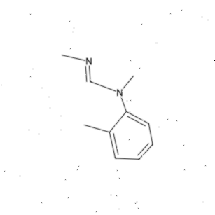 CN=CN(C)c1ccccc1C